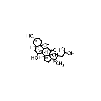 C[C@H](CCC(=O)O)C1CC[C@H]2[C@@H]3C(C[C@@H](O)C12C)C1(C)CC[C@@H](O)C[C@H]1C[C@@H]3O